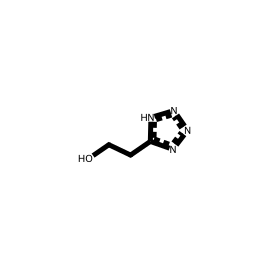 OCCc1nnn[nH]1